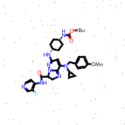 COc1ccc(CN(C2=CC(N[C@H]3CC[C@H](NC(=O)OC(C)(C)C)CC3)=NN3C2=NCC3C(=O)Nc2ccncc2F)C2CC2)cc1